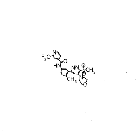 Cc1ccc(NC(=O)c2ccnc(C(F)(F)F)c2)cc1-c1cc(N2CCOCC2)c(S(C)(=O)=O)nn1